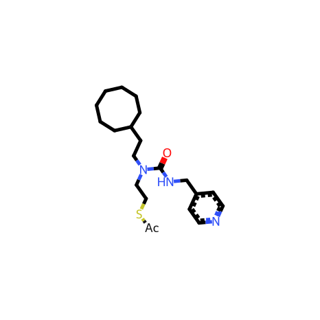 CC(=O)SCCN(CCC1CCCCCCC1)C(=O)NCc1ccncc1